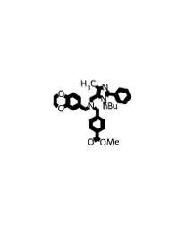 CCCCn1c(-c2ccccc2)nc(C)c1CN(Cc1ccc(C(=O)OC)cc1)Cc1ccc2c(c1)OCCO2